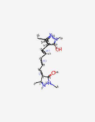 CC1=NN(C)C(=O)\C1=C/C=C/C=C/c1c(C)nn(C)c1O